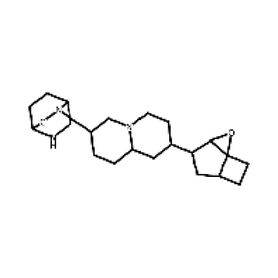 C1CC2CNC1CN2C1CCC2CC(C3CC4CCC45OC35)CCN2C1